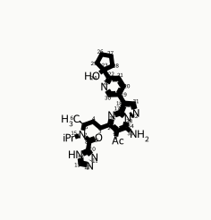 CC(=O)c1c(CC[C@@H](C)N(C(=O)c2nnc[nH]2)C(C)C)nc2c(-c3ccc(C4(O)CCCC4)nc3)cnn2c1N